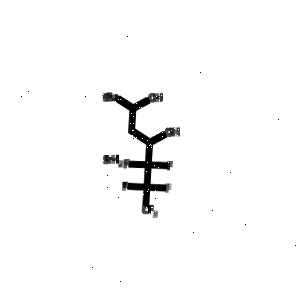 CC(C)(C)C(O)CC(O)C(F)(F)C(F)(F)C(F)(F)F.[SrH2]